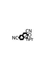 CCCOC(=O)C(C#N)=Cc1cccc(C#N)c1